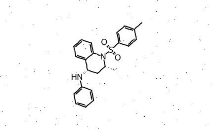 Cc1ccc(S(=O)(=O)N2c3ccccc3[C@@H](Nc3ccccc3)C[C@H]2C)cc1